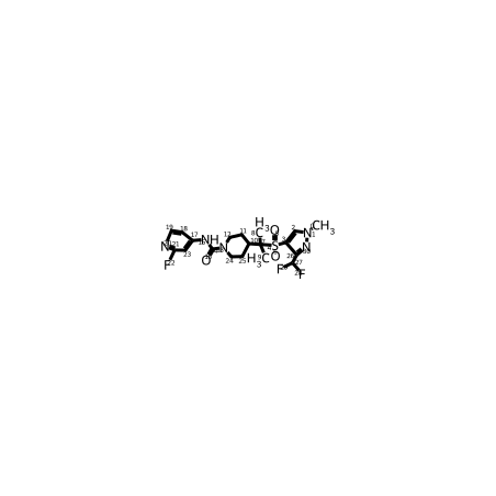 Cn1cc(S(=O)(=O)C(C)(C)C2CCN(C(=O)Nc3ccnc(F)c3)CC2)c(C(F)F)n1